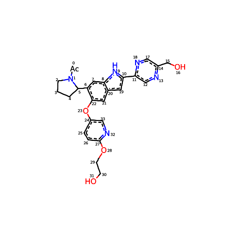 CC(=O)N1CCCC1c1cc2[nH]c(-c3cnc(CO)cn3)cc2cc1Oc1ccc(OCCO)nc1